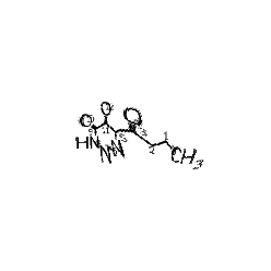 CCCC(=O)C1N=NNC(=O)C1=O